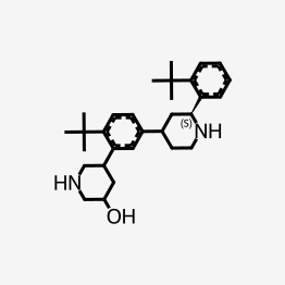 CC(C)(C)c1ccc(C2CCN[C@H](c3ccccc3C(C)(C)C)C2)cc1C1CNCC(O)C1